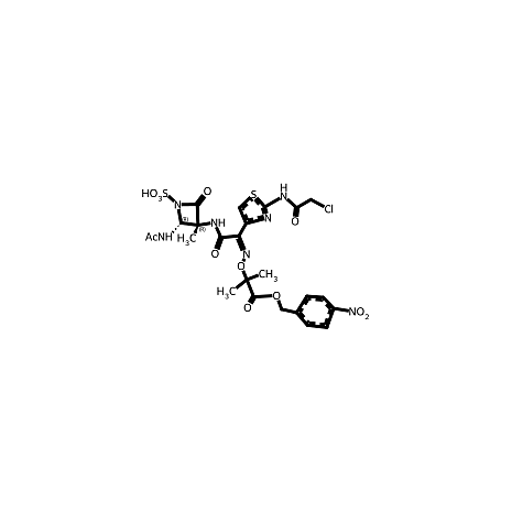 CC(=O)N[C@@H]1N(S(=O)(=O)O)C(=O)[C@]1(C)NC(=O)C(=NOC(C)(C)C(=O)OCc1ccc([N+](=O)[O-])cc1)c1csc(NC(=O)CCl)n1